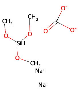 CO[SiH](OC)OC.O=C([O-])[O-].[Na+].[Na+]